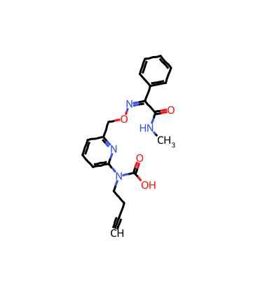 C#CCCN(C(=O)O)c1cccc(CON=C(C(=O)NC)c2ccccc2)n1